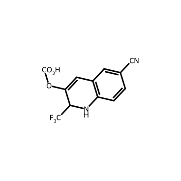 N#Cc1ccc2c(c1)C=C(OC(=O)O)C(C(F)(F)F)N2